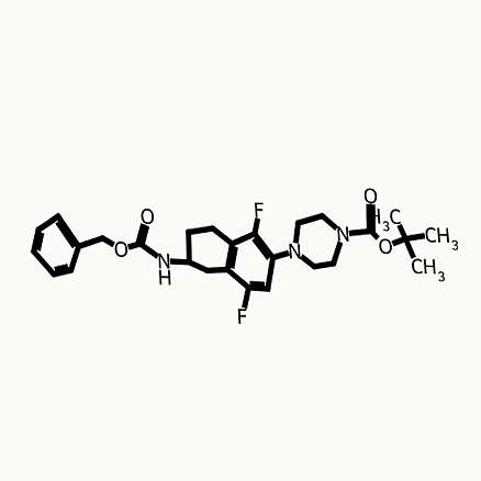 CC(C)(C)OC(=O)N1CCN(c2cc(F)c3c(c2F)CCC(NC(=O)OCc2ccccc2)C3)CC1